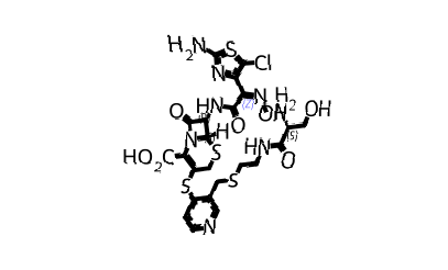 Nc1nc(/C(=N/O)C(=O)N[C@@H]2C(=O)N3C(C(=O)O)=C(Sc4ccncc4CSCCNC(=O)[C@@H](N)CO)CS[C@@H]23)c(Cl)s1